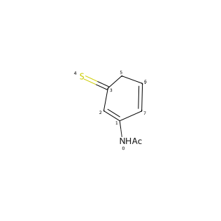 CC(=O)NC1=CC(=S)C[C]=C1